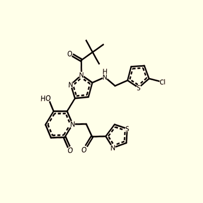 CC(C)(C)C(=O)n1nc(-c2c(O)ccc(=O)n2CC(=O)c2cscn2)cc1NCc1ccc(Cl)s1